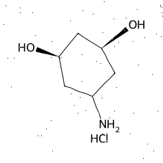 Cl.NC1C[C@@H](O)C[C@@H](O)C1